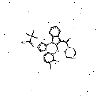 Cc1c(F)cccc1Oc1c(C(=O)N2CCNCC2)c2ccccc2n1-c1ccsc1.O=C(O)C(F)(F)F